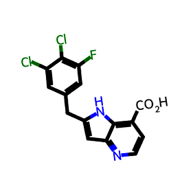 O=C(O)c1ccnc2cc(Cc3cc(F)c(Cl)c(Cl)c3)[nH]c12